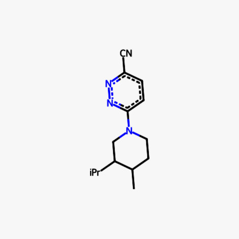 CC(C)C1CN(c2ccc(C#N)nn2)CCC1C